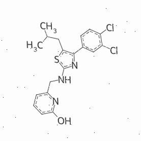 CC(C)Cc1sc(NCc2cccc(O)n2)nc1-c1ccc(Cl)c(Cl)c1